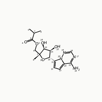 CC(C)C(=O)OC[C@@]1(C)O[C@@H](c2ccc3c(N)ncnn23)[C@H](O)[C@@H]1O